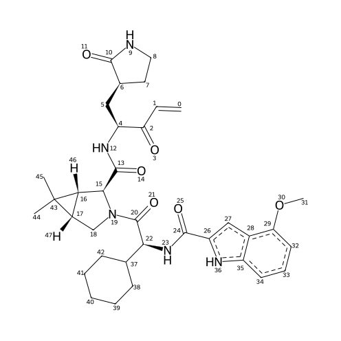 C=CC(=O)[C@H](C[C@@H]1CCNC1=O)NC(=O)[C@@H]1[C@@H]2[C@H](CN1C(=O)[C@@H](NC(=O)c1cc3c(OC)cccc3[nH]1)C1CCCCC1)C2(C)C